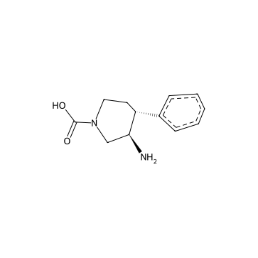 N[C@H]1CN(C(=O)O)CC[C@@H]1c1ccccc1